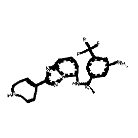 C[C@@H](Nc1cccc2nc(C3=CCNCC3)nn12)c1cc(N)cc(C(F)(F)F)c1